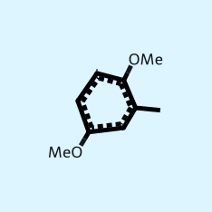 COc1c[c]c(OC)c(C)c1